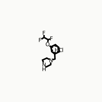 Cl.FC(F)C(F)Oc1cccc(CN2CCNCC2)c1